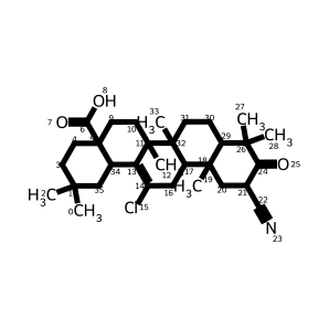 CC1(C)CCC2(C(=O)O)CCC3(C)C(=C(Cl)CC4C5(C)CC(C#N)C(=O)C(C)(C)C5CCC43C)C2C1